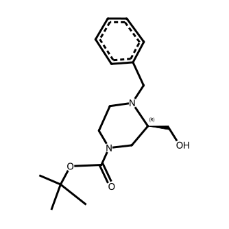 CC(C)(C)OC(=O)N1CCN(Cc2ccccc2)[C@@H](CO)C1